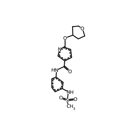 CS(=O)(=O)Nc1cccc(NC(=O)c2ccc(OC3CCOCC3)nc2)c1